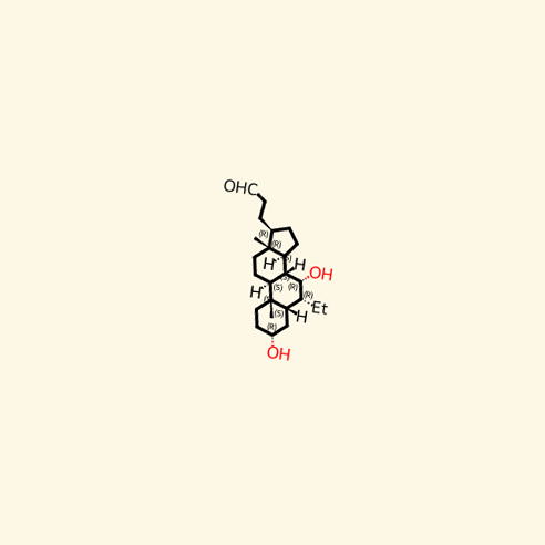 CC[C@H]1[C@@H](O)[C@@H]2[C@H](CC[C@]3(C)[C@@H](CCC=O)CC[C@@H]23)[C@@]2(C)CC[C@@H](O)C[C@@H]12